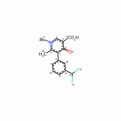 CCC(C)n1cc(C(=O)O)c(=O)c(-c2cccc(C(F)F)c2)c1C